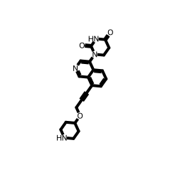 O=C1CCN(c2cncc3c(C#CCOC4CCNCC4)cccc23)C(=O)N1